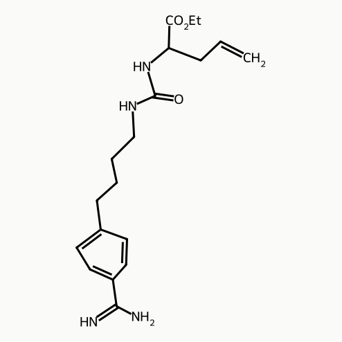 C=CCC(NC(=O)NCCCCc1ccc(C(=N)N)cc1)C(=O)OCC